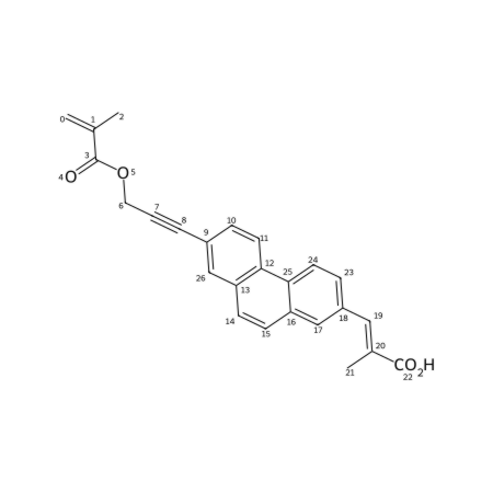 C=C(C)C(=O)OCC#Cc1ccc2c(ccc3cc(C=C(C)C(=O)O)ccc32)c1